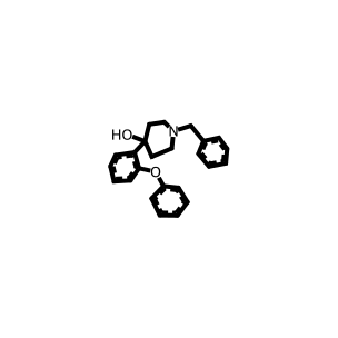 OC1(c2ccccc2Oc2ccccc2)CCN(Cc2ccccc2)CC1